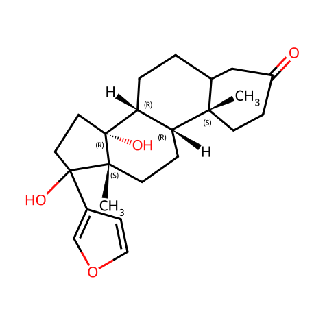 C[C@]12CCC(=O)CC1CC[C@@H]1[C@H]2CC[C@]2(C)C(O)(c3ccoc3)CC[C@@]12O